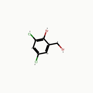 Clc1cc(Cl)c(Br)c(CBr)c1